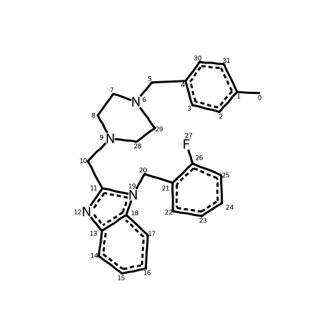 Cc1ccc(CN2CCN(Cc3nc4ccccc4n3Cc3ccccc3F)CC2)cc1